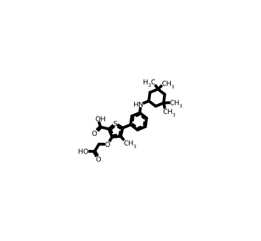 Cc1c(-c2cccc(NC3CC(C)(C)CC(C)(C)C3)c2)sc(C(=O)O)c1OCC(=O)O